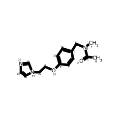 CC(=O)N(C)Cc1ccc(OCCn2ccnc2)cc1